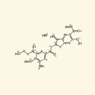 Br.CCOc1cc2c(nc1C(=O)NC)C(=N)N(CC(=O)c1cc(N(CC)CCO)c(OC)c(C(C)(C)C)c1)C2